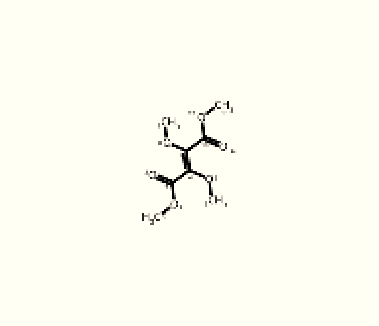 COC(=O)/C(OC)=C(\OC)C(=O)OC